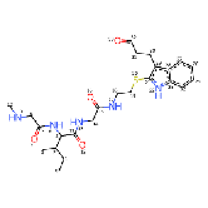 CCC(C)C(NC(=O)CNC)C(=O)NCC(=O)NCCSc1[nH]c2ccccc2c1CCC=O